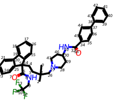 CC(C)(CCC1(C(=O)NCC(F)(F)F)c2ccccc2-c2ccccc21)CN1CCC(NC(=O)c2ccc(-c3ccccc3)cc2)CC1